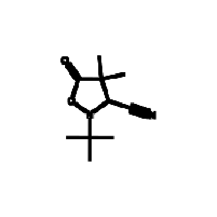 CC1(C)C(=O)ON(C(C)(C)C)C1C#N